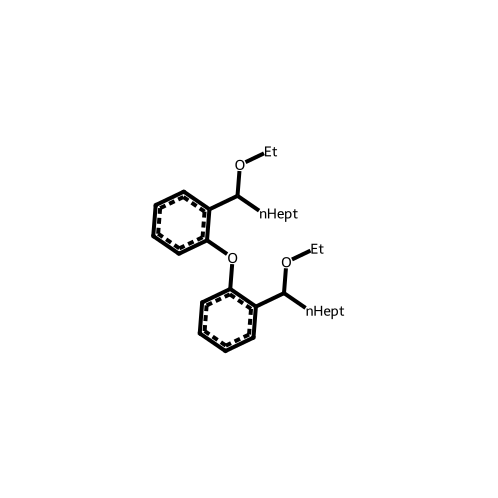 CCCCCCCC(OCC)c1ccccc1Oc1ccccc1C(CCCCCCC)OCC